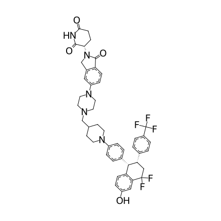 O=C1CC[C@H](N2Cc3cc(N4CCN(CC5CCN(c6ccc([C@H]7c8ccc(O)cc8C(F)(F)C[C@H]7c7ccc(C(F)(F)F)cc7)cc6)CC5)CC4)ccc3C2=O)C(=O)N1